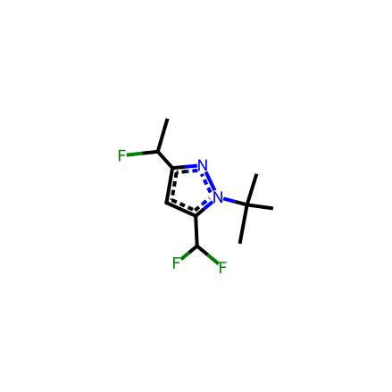 CC(F)c1cc(C(F)F)n(C(C)(C)C)n1